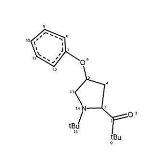 CC(C)(C)C(=O)C1CC(Oc2ccccc2)CN1C(C)(C)C